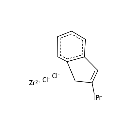 CC(C)C1=Cc2ccccc2C1.[Cl-].[Cl-].[Zr+2]